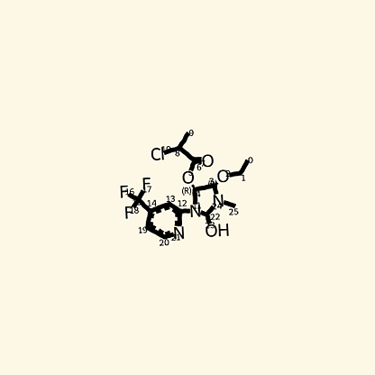 CCO[C@@H]1[C@@H](OC(=O)C(C)Cl)N(c2cc(C(F)(F)F)ccn2)C(O)N1C